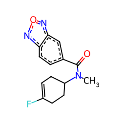 CN(C(=O)c1ccc2nonc2c1)C1CC=C(F)CC1